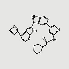 O=C(CC1CCCCC1)Nc1cncc(-c2ccc3[nH]nc(-c4cc5c(-c6ccoc6)ccnc5[nH]4)c3c2)c1